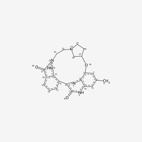 Cc1cc2c3nc(c(=O)[nH]c3c1)-c1cccc3c(=O)n([nH]c13)CCN1CCC(C1)O2